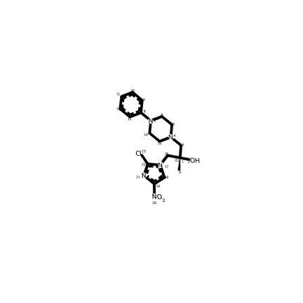 C[C@](O)(CN1CCN(c2ccccc2)CC1)Cn1cc([N+](=O)[O-])nc1Cl